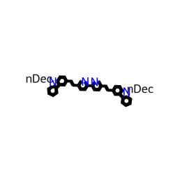 CCCCCCCCCCn1c2ccccc2c2cc(C=Cc3ccc(-c4ccc(C=Cc5ccc6c(c5)c5ccccc5n6CCCCCCCCCC)cn4)nc3)ccc21